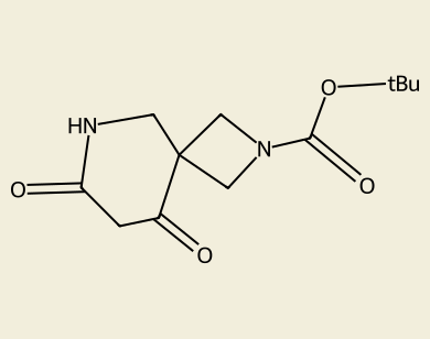 CC(C)(C)OC(=O)N1CC2(CNC(=O)CC2=O)C1